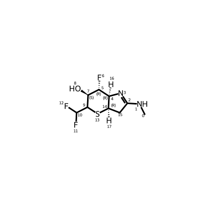 CNC1=N[C@@H]2[C@@H](F)[C@H](O)C(C(F)F)S[C@@H]2C1